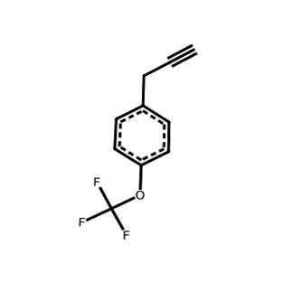 C#CCc1ccc(OC(F)(F)F)cc1